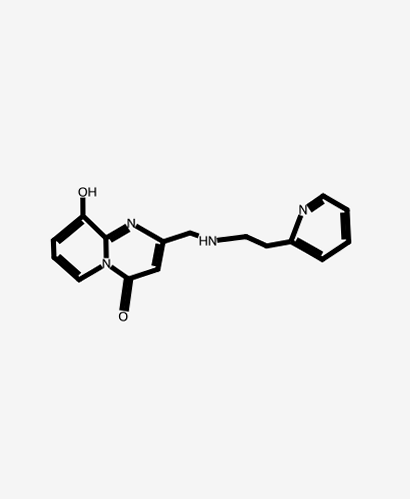 O=c1cc(CNCCc2ccccn2)nc2c(O)cccn12